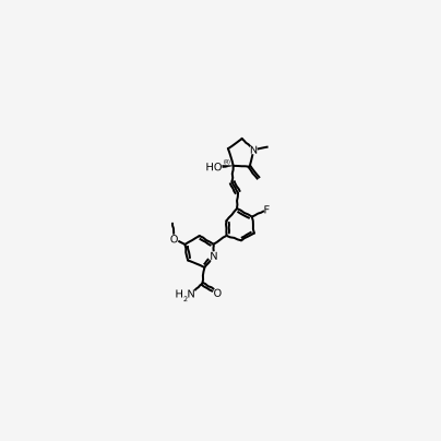 C=C1N(C)CC[C@@]1(O)C#Cc1cc(-c2cc(OC)cc(C(N)=O)n2)ccc1F